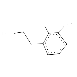 COc1cccc(CCC(=O)O)c1O